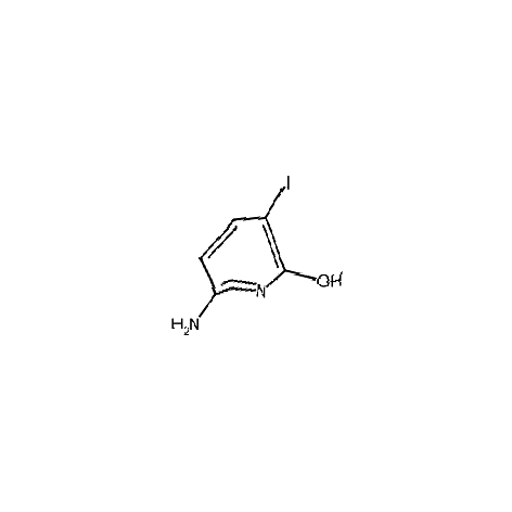 Nc1ccc(I)c(O)n1